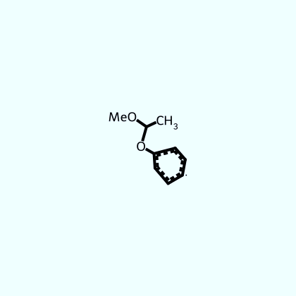 COC(C)Oc1cc[c]cc1